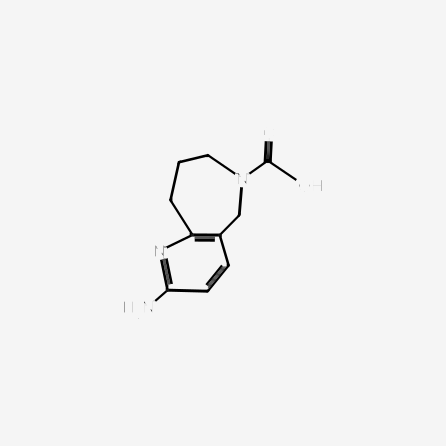 Nc1ccc2c(n1)CCCN(C(=O)O)C2